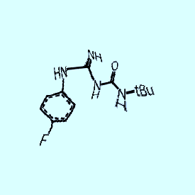 CC(C)(C)NC(=O)NC(=N)Nc1ccc(F)cc1